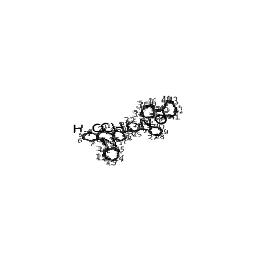 CC1(C)c2ccccc2N(c2ccccc2)c2ccc(-c3ccc4c(c3)c3ccccc3n4-c3cccc4c3oc3ccccc34)cc21